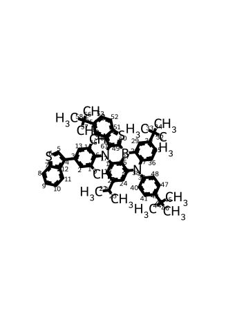 Cc1cc(-c2csc3ccccc23)cc(C)c1N1c2cc(C(C)C)cc3c2B(c2cc(C(C)(C)C)ccc2N3c2ccc(C(C)(C)C)cc2)c2sc3ccc(C(C)(C)C)cc3c21